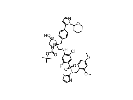 COc1ccc(CN(c2nccs2)S(=O)(=O)c2cc(Cl)c(NC[C@]3(Cc4ccc(-c5ccnn5C5CCCCO5)cc4)C[C@H](O)CN3C(=O)OC(C)(C)C)cc2F)c(OC)c1